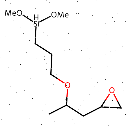 CO[SiH](CCCOC(C)CC1CO1)OC